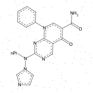 CCCN(c1ncc2c(=O)c(C(N)=O)cn(-c3ccccc3)c2n1)n1ccnc1